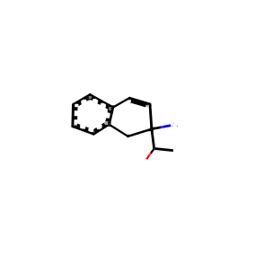 CC(O)C1(N)C=Cc2ccccc2C1